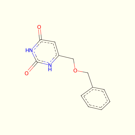 O=c1cc(COCc2ccccc2)[nH]c(=O)[nH]1